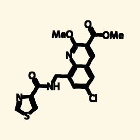 COC(=O)c1cc2cc(Cl)cc(CNC(=O)c3cscn3)c2nc1OC